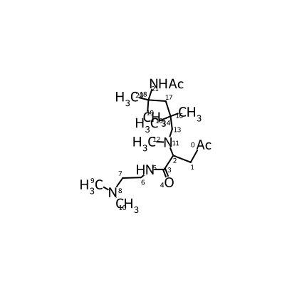 CC(=O)CC(C(=O)NCCN(C)C)N(C)CC(C)(C)CC(C)(C)NC(C)=O